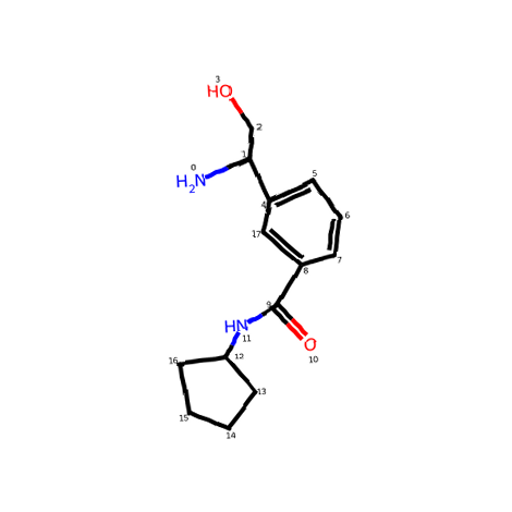 NC(CO)c1cccc(C(=O)NC2CCCC2)c1